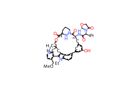 CCn1c(-c2cnccc2COC)c2c3cc(ccc31)-c1cc(O)cc(c1)C[C@H](NC(=O)C(C(C)C)N1COCC1=O)C(=O)N1CCC[C@H](N1)C(=O)OCC(C)(C)C2